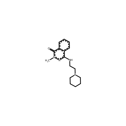 Cn1nc(NCCN2CCCCC2)c2ccccc2c1=O